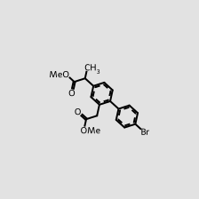 COC(=O)Cc1cc(C(C)C(=O)OC)ccc1-c1ccc(Br)cc1